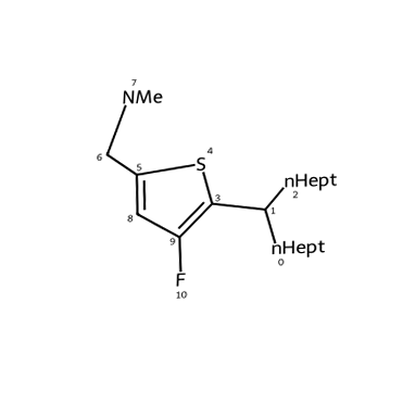 CCCCCCCC(CCCCCCC)c1sc(CNC)cc1F